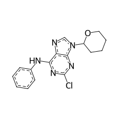 Clc1nc(Nc2ccccc2)c2ncn(C3CCCCO3)c2n1